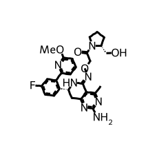 COc1cccc(-c2cc(F)ccc2[C@H]2Cc3nc(N)nc(C)c3/C(=N/OCC(=O)N3CCC[C@@H]3CO)N2)n1